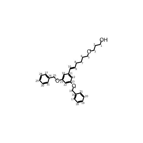 OCCCOCCCCC=Cc1cc(OCc2ccccc2)cc(OCc2ccccc2)c1